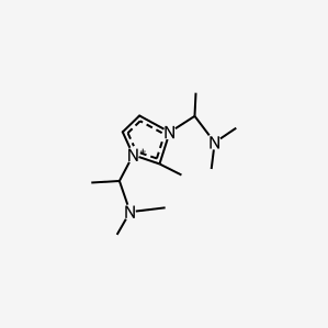 Cc1n(C(C)N(C)C)cc[n+]1C(C)N(C)C